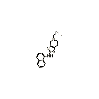 PCN1CCc2sc(Nc3cccc4ccccc34)nc2C1